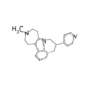 CN1CCc2c(n3c4c(cccc24)CC(c2ccncc2)C3)CC1